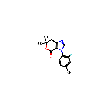 CC1(C)Cc2ncn(-c3ccc(C#N)cc3F)c2C(=O)O1